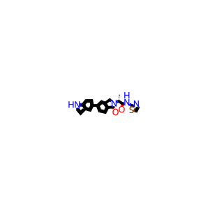 C[C@H](C(=O)Nc1nccs1)N1Cc2cc(-c3ccc4[nH]ccc4c3)ccc2C1=O